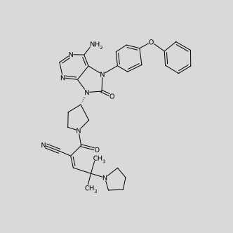 CC(C)(/C=C(/C#N)C(=O)N1CC[C@H](n2c(=O)n(-c3ccc(Oc4ccccc4)cc3)c3c(N)ncnc32)C1)N1CCCC1